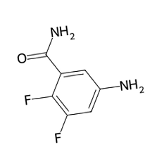 NC(=O)c1cc(N)cc(F)c1F